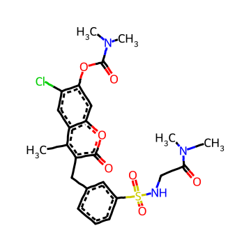 Cc1c(Cc2cccc(S(=O)(=O)NCC(=O)N(C)C)c2)c(=O)oc2cc(OC(=O)N(C)C)c(Cl)cc12